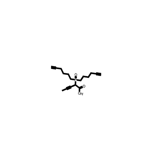 C#CCCCCP(=O)(CCCCC#C)C(C#CC)C(=O)O